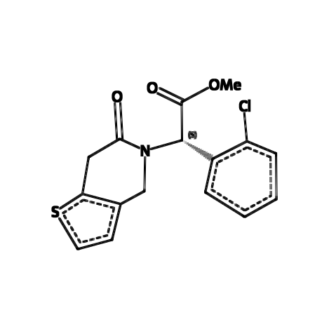 COC(=O)[C@H](c1ccccc1Cl)N1Cc2ccsc2CC1=O